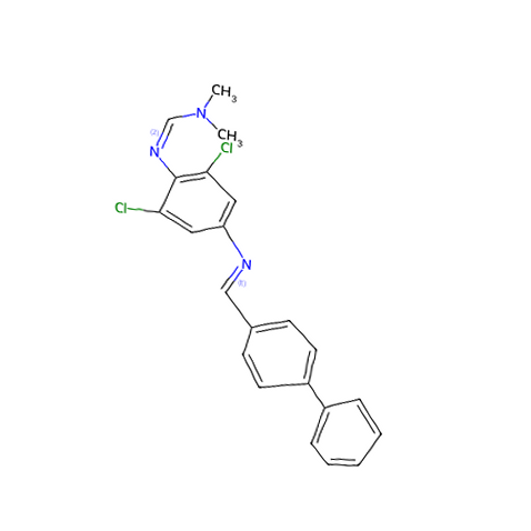 CN(C)/C=N\c1c(Cl)cc(/N=C/c2ccc(-c3ccccc3)cc2)cc1Cl